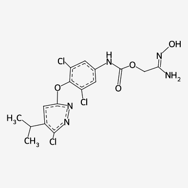 CC(C)c1cc(Oc2c(Cl)cc(NC(=O)OCC(N)=NO)cc2Cl)nnc1Cl